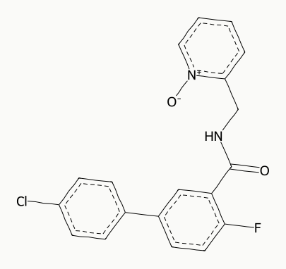 O=C(NCc1cccc[n+]1[O-])c1cc(-c2ccc(Cl)cc2)ccc1F